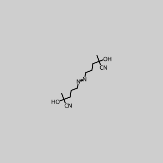 CC(O)(C#N)CCCN=NCCCC(C)(O)C#N